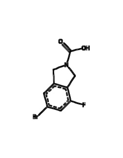 O=C(O)N1Cc2cc(Br)cc(F)c2C1